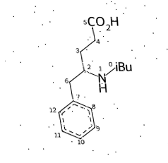 CCC(C)NC(CCC(=O)O)Cc1ccccc1